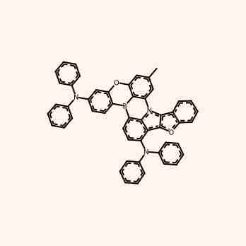 Cc1cc2c3c(c1)-n1c4c(ccc(N(c5ccccc5)c5ccccc5)c4c4oc5ccccc5c41)B3c1ccc(N(c3ccccc3)c3ccccc3)cc1O2